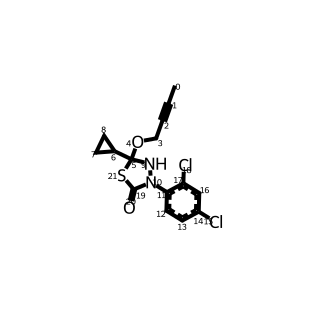 CC#CCOC1(C2CC2)NN(c2ccc(Cl)cc2Cl)C(=O)S1